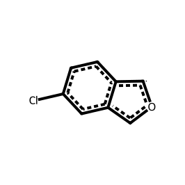 Clc1ccc2[c]occ2c1